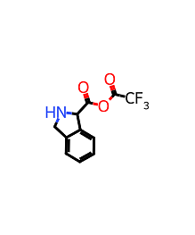 O=C(OC(=O)C(F)(F)F)C1NCc2ccccc21